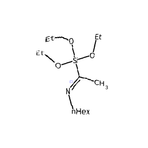 CCCCCC/N=C(\C)[Si](OCC)(OCC)OCC